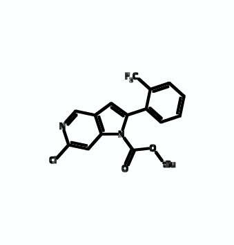 CC(C)(C)OC(=O)n1c(-c2ccccc2C(F)(F)F)cc2cnc(Cl)cc21